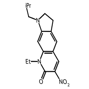 CCn1c(=O)c([N+](=O)[O-])cc2cc3c(cc21)N(CC(C)C)CC3